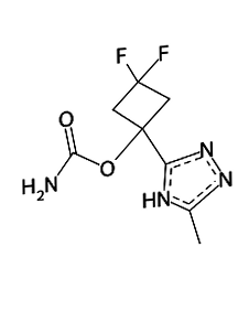 Cc1nnc(C2(OC(N)=O)CC(F)(F)C2)[nH]1